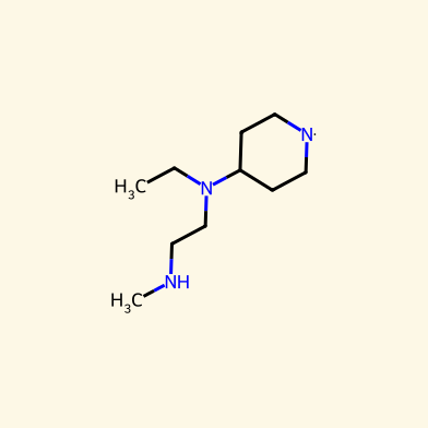 CCN(CCNC)C1CC[N]CC1